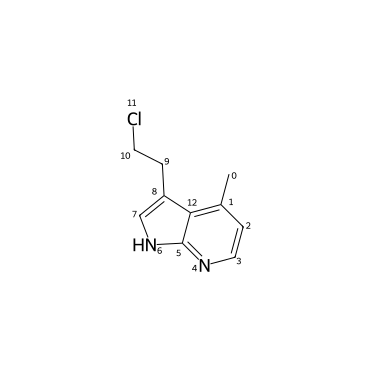 Cc1ccnc2[nH]cc(CCCl)c12